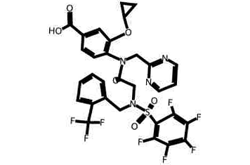 O=C(O)c1ccc(N(Cc2ncccn2)C(=O)CN(Cc2ccccc2C(F)(F)F)S(=O)(=O)c2c(F)c(F)c(F)c(F)c2F)c(OC2CC2)c1